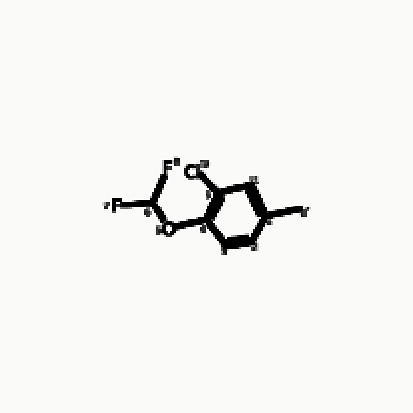 [CH2]c1ccc(OC(F)F)c(Cl)c1